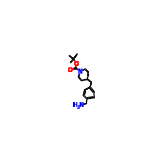 CC(C)(C)OC(=O)N1CCC(Cc2ccc(CN)cc2)CC1